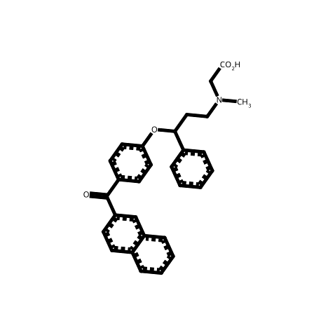 CN(CCC(Oc1ccc(C(=O)c2ccc3ccccc3c2)cc1)c1ccccc1)CC(=O)O